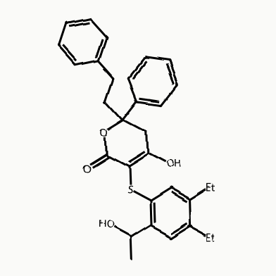 CCc1cc(SC2=C(O)CC(CCc3ccccc3)(c3ccccc3)OC2=O)c(C(C)O)cc1CC